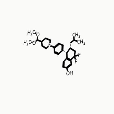 COC(OC)C1CCN(c2ccc([C@H]3c4ccc(O)cc4C(F)(F)C[C@H]3CC(C)C)cc2)CC1